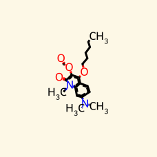 CCCCCCOc1c(OC=O)c(=O)n(C)c2cc(N(C)C)ccc12